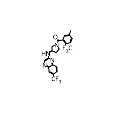 Cc1ccc(C(F)(F)F)c(C(=O)N2CCC(Nc3cnc4cc(C(F)(F)F)ccc4n3)C2)c1